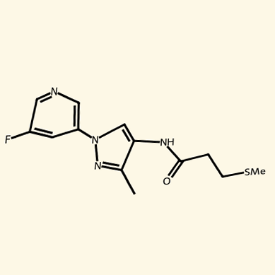 CSCCC(=O)Nc1cn(-c2cncc(F)c2)nc1C